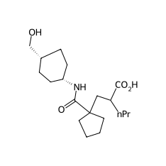 CCCC(CC1(C(=O)N[C@H]2CC[C@@H](CO)CC2)CCCC1)C(=O)O